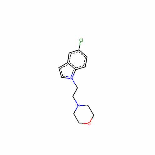 Clc1ccc2c(ccn2CCN2CCOCC2)c1